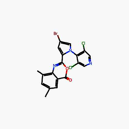 Cc1cc(C)c2nc(-c3cc(Br)cn3-c3c(Cl)cncc3Cl)oc(=O)c2c1